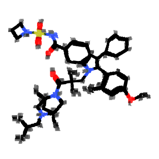 COc1ccc(-c2c(C3CCCCC3)c3ccc(C(=O)NS(=O)(=O)N4CCC4)cc3n2CC(C)(C)C(=O)N2C[C@H]3C[C@@H]2CN3CC(C)C)c(C)c1